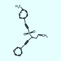 C=CCN(C#Cc1ccccc1)S(=O)(=O)C#Cc1ccc(C)cc1